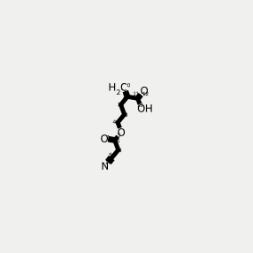 C=C(CCCOC(=O)CC#N)C(=O)O